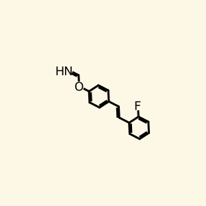 N=COc1ccc(/C=C/c2ccccc2F)cc1